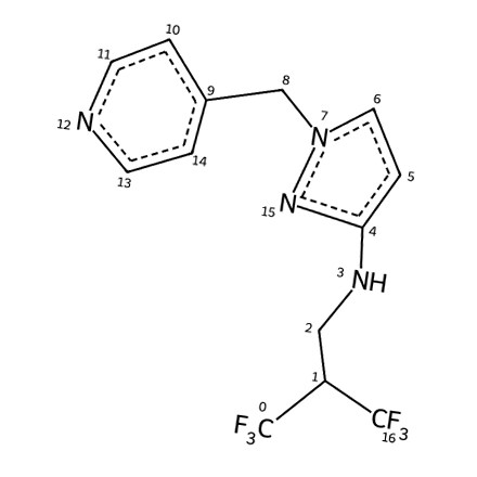 FC(F)(F)C(CNc1ccn(Cc2ccncc2)n1)C(F)(F)F